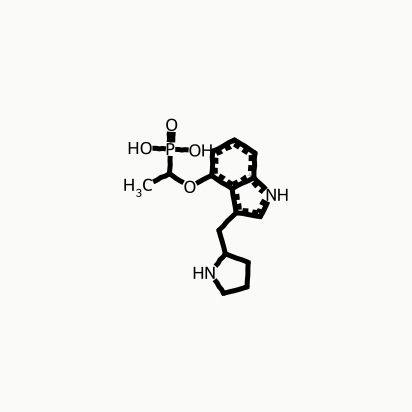 CC(Oc1cccc2[nH]cc(CC3CCCN3)c12)P(=O)(O)O